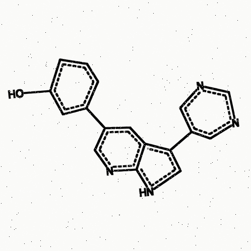 Oc1cccc(-c2cnc3[nH]cc(-c4cncnc4)c3c2)c1